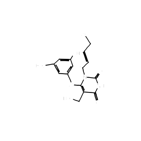 CCc1c(Sc2cc(C)cc(C)c2)n(CC=CCCl)c(=O)[nH]c1=O